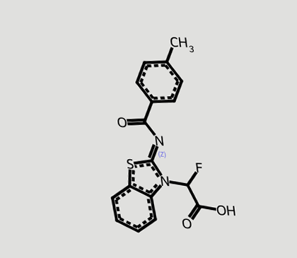 Cc1ccc(C(=O)/N=c2\sc3ccccc3n2C(F)C(=O)O)cc1